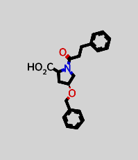 O=C(O)C1C[C@@H](OCc2ccccc2)CN1C(=O)CCc1ccccc1